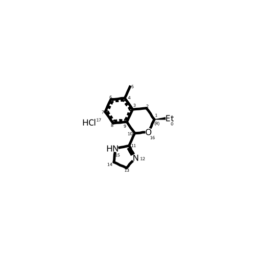 CC[C@@H]1Cc2c(C)cccc2C(C2=NCCN2)O1.Cl